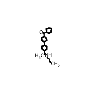 C=CCCNC(C)c1ccc(-c2ccc(C(=O)c3ccccc3)cc2)cc1